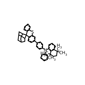 CC1(C)CCC(C)(C)c2c(N(c3ccccc3)c3ccc(-c4ccc5c(c4)Sc4ccccc4C54C5CC6CC7CC4C75C6)cc3)cccc21